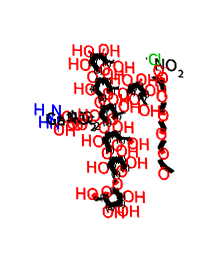 C(COCCOCC1CO1)OCCOCC1CO1.CC(=O)[O-].NC(=O)NO.O=[N+]([O-])[O-].O=[N+]([O-])[O-].O=[N+]([O-])[O-].OC[C@H]1O[C@@H](OC[C@H]2O[C@@H](O)[C@H](O)[C@@H](O[C@@H]3O[C@H](CO)[C@@H](O)[C@H](O[C@@H]4O[C@H](CO)[C@@H](O)[C@H](O[C@@H]5O[C@H](CO[C@@H]6O[C@H](CO)[C@@H](O)[C@H](O)[C@H]6O)[C@@H](O)[C@H](O[C@@H]6O[C@H](CO)[C@@H](O)[C@H](O)[C@H]6O)[C@H]5O)[C@H]4O)[C@H]3O)[C@@H]2O)[C@H](O)[C@@H](O)[C@@H]1O.[Cl].[Ga+3]